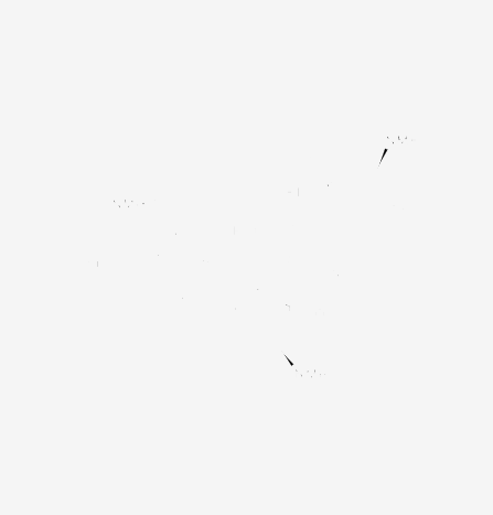 CCCC[C@H](NC)C(=O)C(C)(O)C(=O)CC(O)(C(=O)[C@H](C)NC)C(=O)C(O)(CC(=O)[C@@H](NC)C(C)CC)C(=O)O